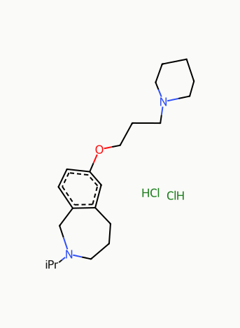 CC(C)N1CCCc2cc(OCCCN3CCCCC3)ccc2C1.Cl.Cl